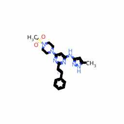 Cc1cc(Nc2cc(N3CCN(S(C)(=O)=O)CC3)nc(/C=C/c3ccccc3)n2)n[nH]1